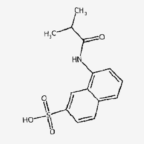 CC(C)C(=O)Nc1cccc2ccc(S(=O)(=O)O)cc12